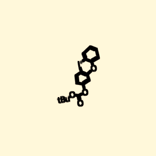 CC(C)(C)OC(=O)Oc1ccc2c(c1)Oc1ccccc1[I+]2